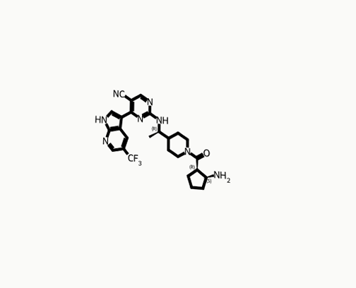 C[C@@H](Nc1ncc(C#N)c(-c2c[nH]c3ncc(C(F)(F)F)cc23)n1)C1CCN(C(=O)[C@@H]2CCC[C@@H]2N)CC1